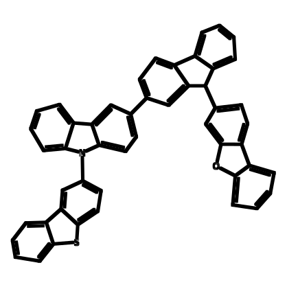 c1ccc2c(c1)-c1ccc(-c3ccc4c(c3)c3ccccc3n4-c3ccc4sc5ccccc5c4c3)cc1C2c1ccc2c(c1)oc1ccccc12